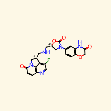 O=C1COc2ccc(N3C[C@@H](CNC[C@@H]4Cn5c(=O)ccc6ncc(F)c4c65)OC3=O)cc2N1